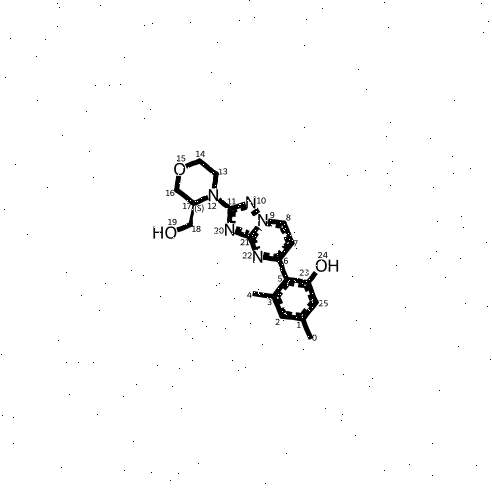 Cc1cc(C)c(-c2ccn3nc(N4CCOC[C@@H]4CO)nc3n2)c(O)c1